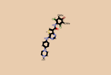 CCN1CCN(c2ccc(Nc3ncnc4c(C(=O)Nc5c(Cl)c(OC)c(Br)c(OC)c5Cl)csc34)cc2)CC1